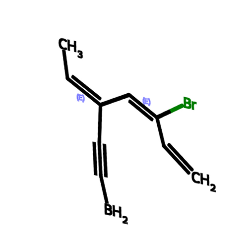 BC#CC(/C=C(/Br)C=C)=C/C